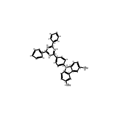 CC(C)(C)c1ccc2c(c1)c1cc(C(C)(C)C)ccc1n2-c1ccc(-c2nc(-c3ccccc3)nc(-c3ccccc3)n2)cc1